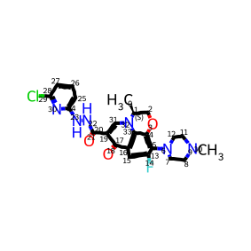 C[C@H]1COc2c(N3CCN(C)CC3)c(F)cc3c(=O)c(C(=O)NNc4cccc(Cl)n4)cn1c23